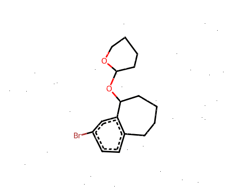 Brc1ccc2c(c1)C(OC1CCCCO1)CCCC2